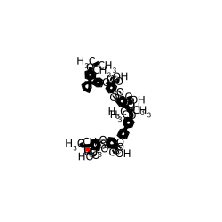 CCC(C)(C)Oc1ccc(C2(c3ccc(Oc4ccc(S(=O)(=O)c5ccc(C(C)(C)C(C)(CC)Oc6ccc(-c7ccc(Oc8ccc(S(=O)(=O)c9ccc(C(C)(C)CC)c(S(=O)(=O)O)c9)cc8S(=O)(=O)O)cc7)cc6)c(S(=O)(=O)O)c5)cc4S(=O)(=O)O)cc3)CCCCC2)cc1